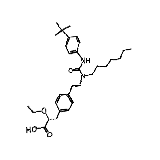 CCCCCCCN(CCc1ccc(C[C@@H](OCC)C(=O)O)cc1)C(=O)Nc1ccc(C(C)(C)C)cc1